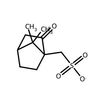 CC1(C)C2CCC1(CS([O])(=O)=O)C(=O)C2